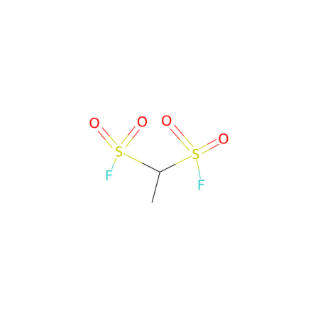 CC(S(=O)(=O)F)S(=O)(=O)F